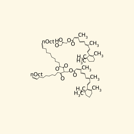 CC(C=CC1=C(C)CCCC1(C)C)=CC=C/C(C)=C\C(=O)OCC(=O)CO.CCCCCCCC/C=C\CCCCCCCC(=O)C(=O)C(COC(=O)/C=C(/C)C=CC=C(C)C=CC1=C(C)CCCC1(C)C)C(=O)CCCCCCC/C=C\CCCCCCCC